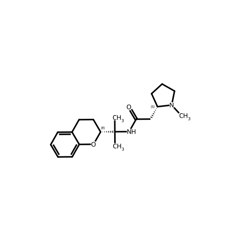 CN1CCC[C@H]1CC(=O)NC(C)(C)[C@H]1CCc2ccccc2O1